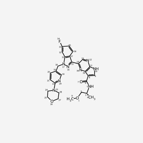 COC[C@H](C)NC(=O)c1c[nH]c2ncc(-c3nn(Cc4ccc(N5CCOCC5)nc4)c4cc(F)ccc34)nc12